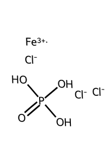 O=P(O)(O)O.[Cl-].[Cl-].[Cl-].[Fe+3]